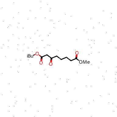 CCC(C)OC(=O)CC(=O)CCCCC(=O)OC